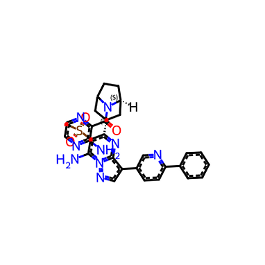 CS(=O)(=O)c1c([C@@H]2CC3CC[C@@H](C2)N3C(=O)c2nccnc2N)nc2c(-c3ccc(-c4ccccc4)nc3)cnn2c1N